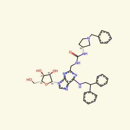 O=C(NCc1nc(NCC(c2ccccc2)c2ccccc2)c2ncn([C@@H]3O[C@H](CO)[C@@H](O)[C@H]3O)c2n1)N[C@@H]1CCN(Cc2ccccc2)C1